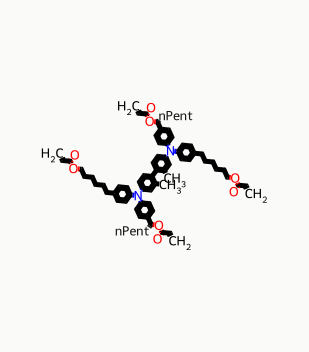 C=CC(=O)OCCCCCCc1ccc(N(c2ccc(C(CCCCC)OC(=O)C=C)cc2)c2ccc(-c3ccc(N(c4ccc(CCCCCCOC(=O)C=C)cc4)c4ccc(C(CCCCC)OC(=O)C=C)cc4)cc3C)c(C)c2)cc1